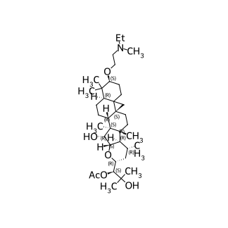 CCN(C)CCO[C@H]1CCC23C[C@]24CC[C@]2(C)[C@@H]5[C@H](O[C@@H]([C@H](OC(C)=O)C(C)(C)O)C[C@H]5C)[C@H](O)[C@@]2(C)[C@@H]4CC[C@H]3C1(C)C